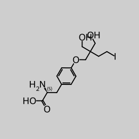 N[C@@H](Cc1ccc(OCC(CO)(CO)CCI)cc1)C(=O)O